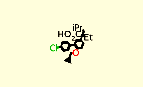 CCC(CC(C)C)(C(=O)O)c1ccc(OCC2CC2)c(-c2ccc(Cl)cc2)c1